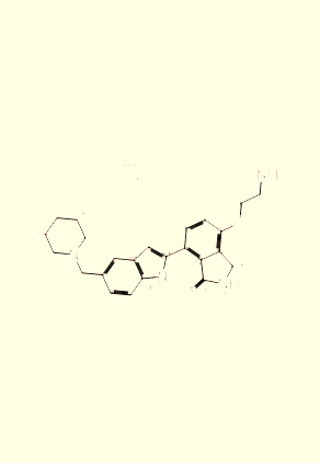 Cl.Cl.NCCOc1ccc(-c2cc3cc(CN4CCCCC4)ccc3[nH]2)c2c1CNC2=O